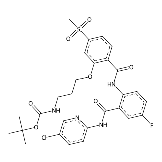 CC(C)(C)OC(=O)NCCCOc1cc(S(C)(=O)=O)ccc1C(=O)Nc1ccc(F)cc1C(=O)Nc1ccc(Cl)cn1